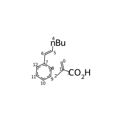 C=C(C)C(=O)O.CCCCC=Cc1ccccc1